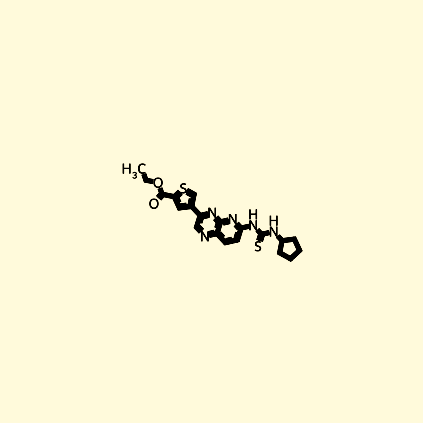 CCOC(=O)c1cc(-c2cnc3ccc(NC(=S)NC4CCCC4)nc3n2)cs1